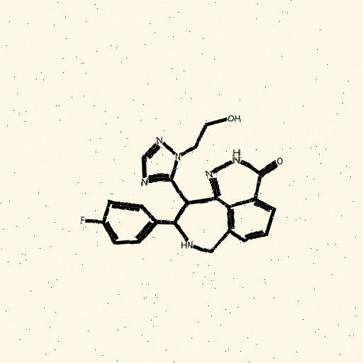 O=c1[nH]nc2c3c(cccc13)CNC(c1ccc(F)cc1)C2c1ncnn1CCO